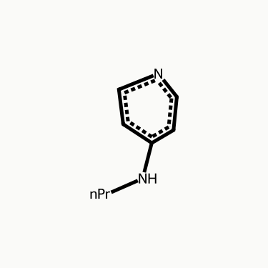 [CH2]CCNc1ccncc1